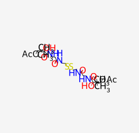 CC(=O)OCC(C)(C)C(O)C(=O)NCCC(=O)NCCSSCCNC(=O)CCNC(=O)C(O)C(C)(C)COC(C)=O